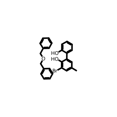 Cc1cc(Br)c(O)c(-c2ccccc2O)c1.c1ccc(COCc2ccccc2)cc1